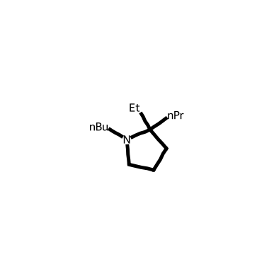 CCCCN1CCCC1(CC)CCC